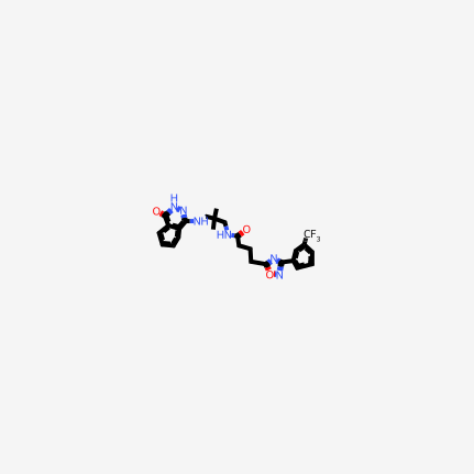 CC(C)(CNC(=O)CCCc1nc(-c2cccc(C(F)(F)F)c2)no1)CNc1n[nH]c(=O)c2ccccc12